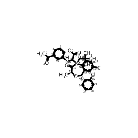 CC(=O)c1cccc(NC(C(=O)[O-])[N+]2(CC(C)(C)C)C(=O)[C@H](C)O[C@@H](c3ccccc3Cl)c3cc(Cl)ccc32)c1